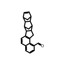 O=Cc1cccc2ccc3c(c12)CC1C2CC(C31)C1C3C=CC(C3)C21